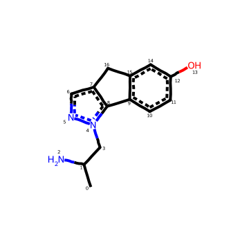 CC(N)Cn1ncc2c1-c1ccc(O)cc1C2